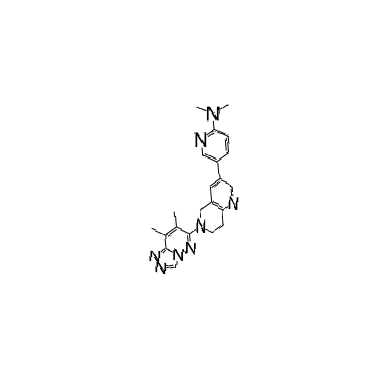 Cc1c(N2CCc3ncc(-c4ccc(N(C)C)nc4)cc3C2)nn2cnnc2c1C